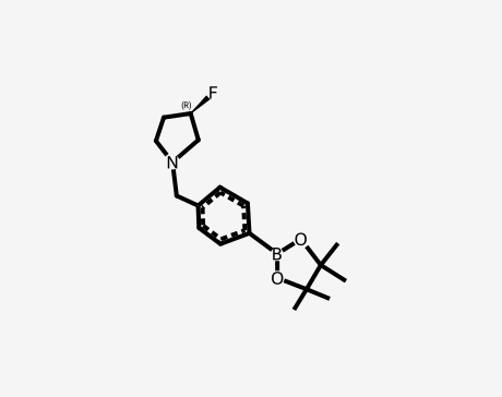 CC1(C)OB(c2ccc(CN3CC[C@@H](F)C3)cc2)OC1(C)C